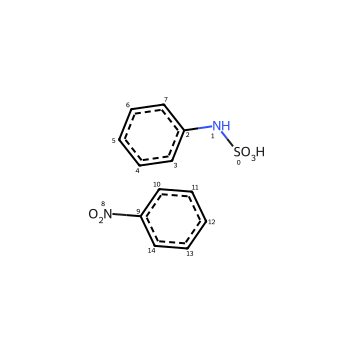 O=S(=O)(O)Nc1ccccc1.O=[N+]([O-])c1ccccc1